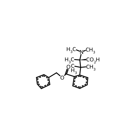 CN(C)[C@](C)(C(=O)O)C(C)(C)c1ccccc1C(=O)OCc1ccccc1